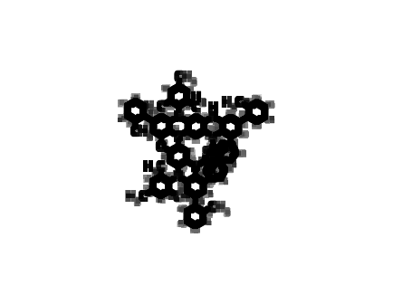 Cc1cc(C)c(N2c3cc4c(cc3B3c5cc6c(cc5Oc5cc(-c7ccccc7C)cc2c53)N(c2c(C)cc(C)cc2C)c2cc(-c3ccccc3C)cc3c2B6c2sc5ccccc5c2O3)B2c3sc5ccccc5c3Oc3cc(-c5ccccc5C)cc(c32)N4)c(C)c1